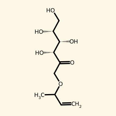 C=CC(C)OCC(=O)[C@H](O)[C@@H](O)[C@H](O)CO